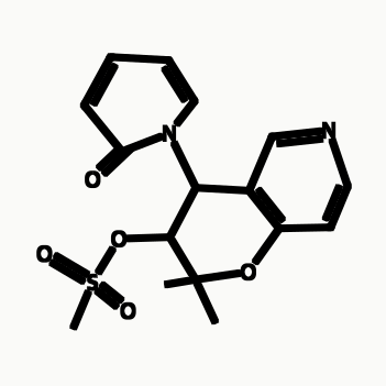 CC1(C)Oc2ccncc2C(n2ccccc2=O)C1OS(C)(=O)=O